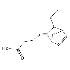 CCC1C2C=CC(C2)C1CCCC(=O)O